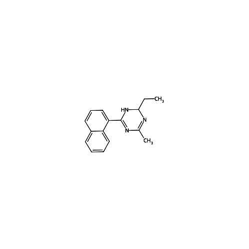 CCC1N=C(C)N=C(c2cccc3ccccc23)N1